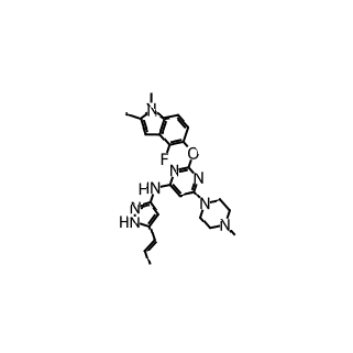 C/C=C/c1cc(Nc2cc(N3CCN(C)CC3)nc(Oc3ccc4c(cc(C)n4C)c3F)n2)n[nH]1